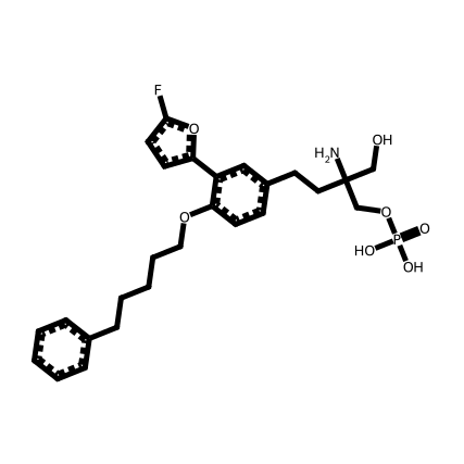 NC(CO)(CCc1ccc(OCCCCCc2ccccc2)c(-c2ccc(F)o2)c1)COP(=O)(O)O